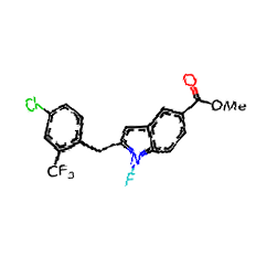 COC(=O)c1ccc2c(c1)cc(Cc1ccc(Cl)cc1C(F)(F)F)n2F